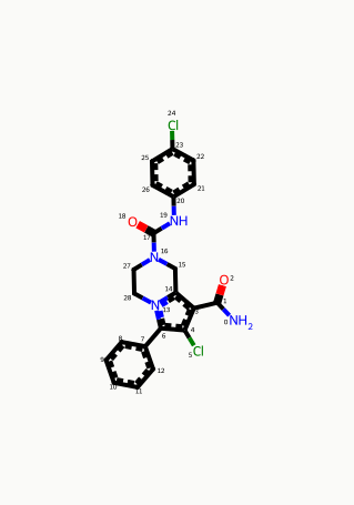 NC(=O)c1c(Cl)c(-c2ccccc2)n2c1CN(C(=O)Nc1ccc(Cl)cc1)CC2